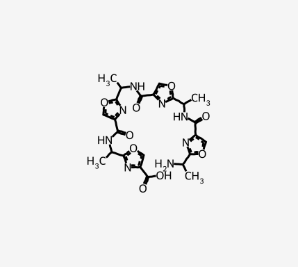 CC(N)c1nc(C(=O)NC(C)c2nc(C(=O)NC(C)c3nc(C(=O)NC(C)c4nc(C(=O)O)co4)co3)co2)co1